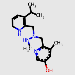 CNN(CC1=C(C(C)C)C=CCN1)Cc1ncc(O)cc1C